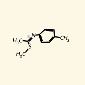 CS/C(C)=N\c1ccc(C)cc1